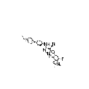 CCN1CCN(c2ccc(Nc3ncnc(Oc4cc(F)c5c(cc(C)n5C)c4F)c3C#N)cc2)CC1